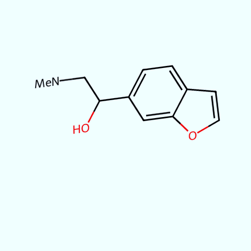 CNCC(O)c1ccc2ccoc2c1